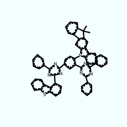 CC1(C)c2ccccc2-c2cc3c(cc21)c1ccccc1n3-c1ccc(-c2nc(-c3ccccc3)nc(-c3cccc4sc5ccccc5c34)n2)cc1-c1nc(-c2ccccc2)nc(-c2ccccc2)n1